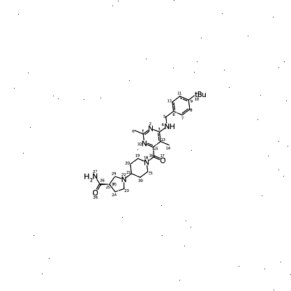 Cc1nc(NCc2ccc(C(C)(C)C)cc2)c(C)c(C(=O)N2CCC(N3CC[C@@H](C(N)=O)C3)CC2)n1